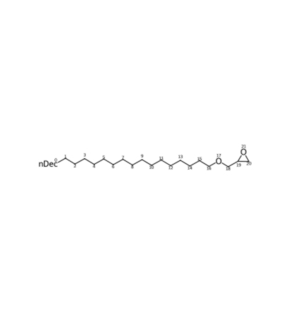 CCCCCCCCCCCCCCCCCCCCCCCCCCOCC1CO1